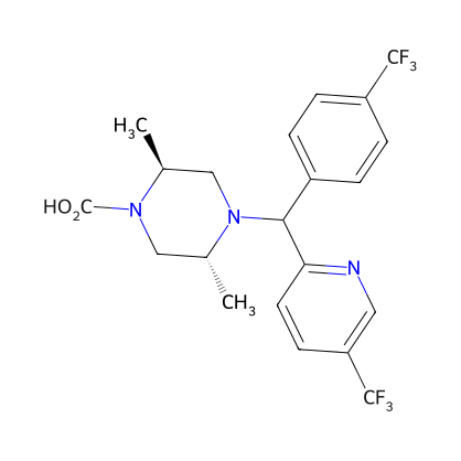 C[C@@H]1CN(C(=O)O)[C@@H](C)CN1C(c1ccc(C(F)(F)F)cc1)c1ccc(C(F)(F)F)cn1